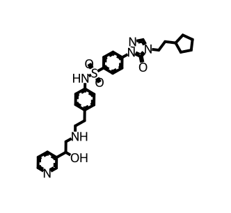 O=c1n(CCC2CCCC2)cnn1-c1ccc(S(=O)(=O)Nc2ccc(CCNCC(O)c3cccnc3)cc2)cc1